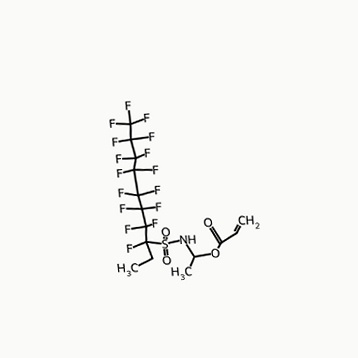 C=CC(=O)OC(C)NS(=O)(=O)C(F)(CC)C(F)(F)C(F)(F)C(F)(F)C(F)(F)C(F)(F)C(F)(F)C(F)(F)F